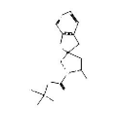 CC1CC2(Cc3ccncc3O2)CN1C(=O)OC(C)(C)C